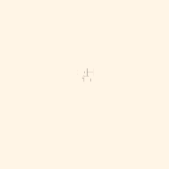 CCCCCCCCCCCCCCC(CC(CCCCCCC)CCCCCCCCC)C(=O)O